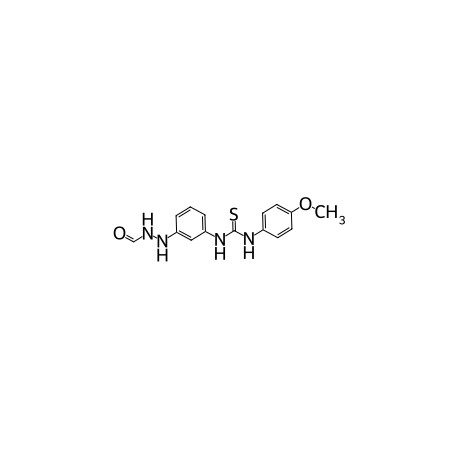 COc1ccc(NC(=S)Nc2cccc(NNC=O)c2)cc1